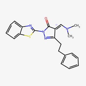 CN(C)/C=C1/C(=O)N(c2nc3ccccc3s2)N=C1CCc1ccccc1